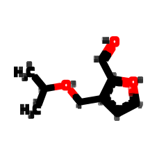 CC(C)OCc1ccoc1C=O